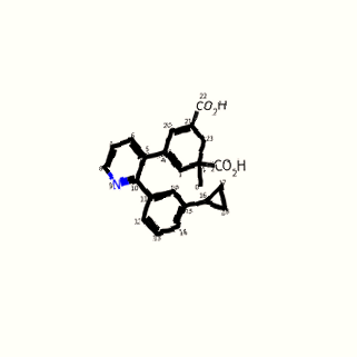 CC1(C(=O)O)C=C(c2cccnc2-c2cccc(C3CC3)c2)C=C(C(=O)O)C1